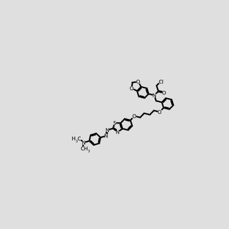 CN(C)c1ccc(/N=N/c2nc3ccc(OCCCCOc4ccccc4CN(C(=O)CCl)c4ccc5c(c4)OCO5)cc3s2)cc1